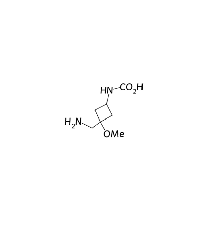 COC1(CN)CC(NC(=O)O)C1